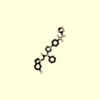 O=C(Cn1ccc2ccc(Cl)cc21)N(c1ccccc1)C1CCN(c2ccc(S(=O)(=O)Nc3ncns3)cc2)C1